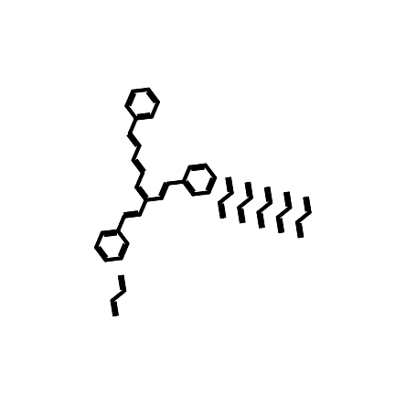 C(=CC=C(C=Cc1ccccc1)C=Cc1ccccc1)C=Cc1ccccc1.C=CC=C.C=CC=C.C=CC=C.C=CC=C.C=CC=C.C=CC=C